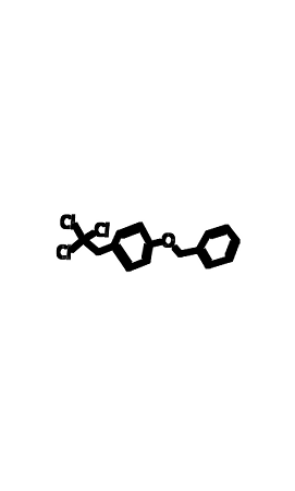 ClC(Cl)(Cl)Cc1ccc(OCc2ccccc2)cc1